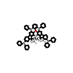 CC1(C)c2cc(N(c3ccccc3)c3ccccc3)ccc2-c2cc3c4c(c21)Oc1c2c(cc5c1P4(=S)c1c(cccc1N5c1ccccc1)N3c1ccccc1)-c1ccc(N(c3ccccc3)c3ccccc3)cc1C2(C)C